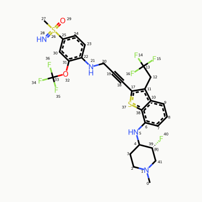 CN1CCC(Nc2cccc3c(CC(F)(F)F)c(C#CCNc4ccc(S(C)(=N)=O)cc4OC(F)(F)F)sc23)[C@H](F)C1